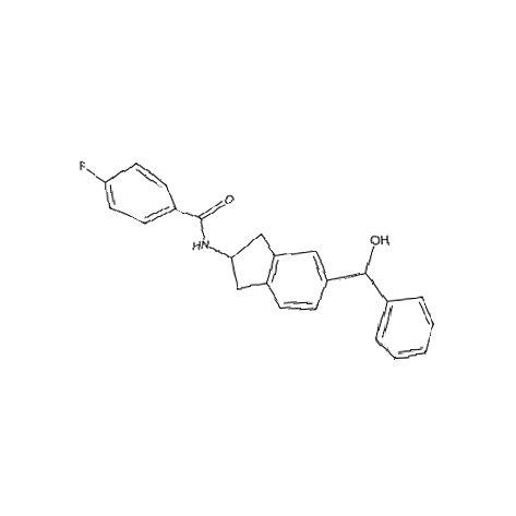 O=C(NC1Cc2ccc(C(O)c3ccccc3)cc2C1)c1ccc(F)cc1